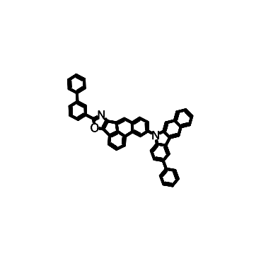 c1ccc(-c2cccc(-c3nc4c(o3)-c3cccc5c3c-4cc3ccc(-n4c6ccc(-c7ccccc7)cc6c6cc7ccccc7cc64)cc35)c2)cc1